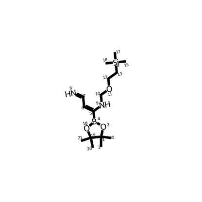 CC1(C)OB(/C(=C/C=N)NCOCC[Si](C)(C)C)OC1(C)C